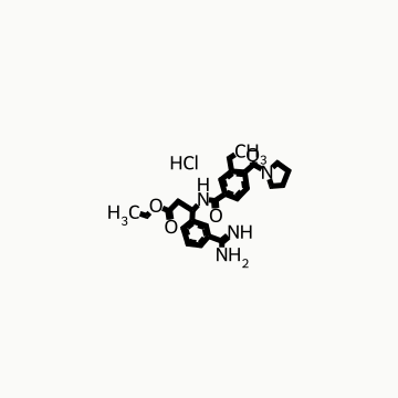 CCOC(=O)CC(NC(=O)c1ccc(C(=O)N2CCCC2)c(CC)c1)c1cccc(C(=N)N)c1.Cl